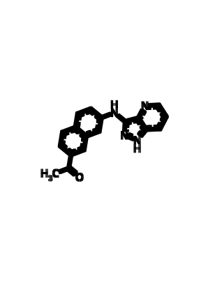 CC(=O)c1ccc2ccc(Nc3n[nH]c4cccnc34)cc2c1